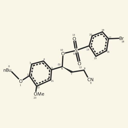 CCCCOc1ccc([C@H](CCC#N)OS(=O)(=O)c2ccc(Br)cc2)cc1OC